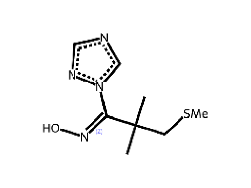 CSCC(C)(C)/C(=N/O)n1cncn1